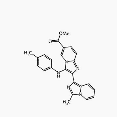 COC(=O)c1ccc2nc(-c3nc(C)n4ccccc34)c(Nc3ccc(C)cc3)n2c1